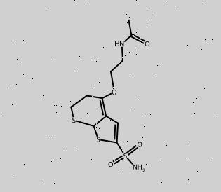 CC(=O)NCCOC1=C2C=C(S(N)(=O)=O)SC2SCC1